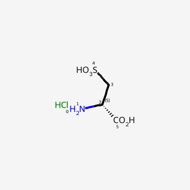 Cl.N[C@H](CS(=O)(=O)O)C(=O)O